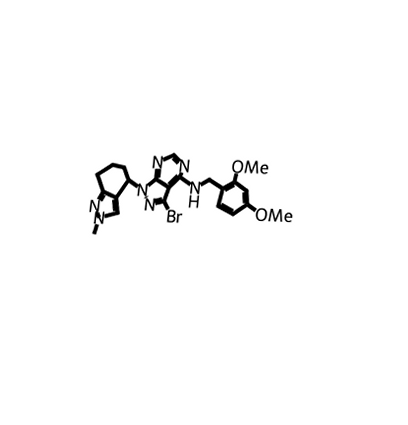 COc1ccc(CNc2ncnc3c2c(Br)nn3C2CCCc3nn(C)cc32)c(OC)c1